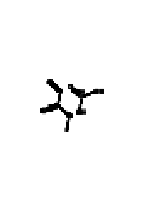 C=CC(=O)OC.O=[PH](O)O